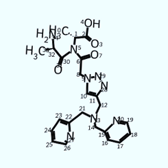 C[C@H](C(=O)O)N(C(=O)Cn1cc(CN(Cc2ccccn2)Cc2ccccn2)nn1)C(=O)[C@@H](C)N